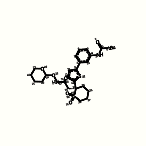 CC(C)(C)C(=O)Nc1cccc(-c2ccc([C@@]3(CC(=O)NOC4CCCCO4)CCCCS3(=O)=O)s2)c1